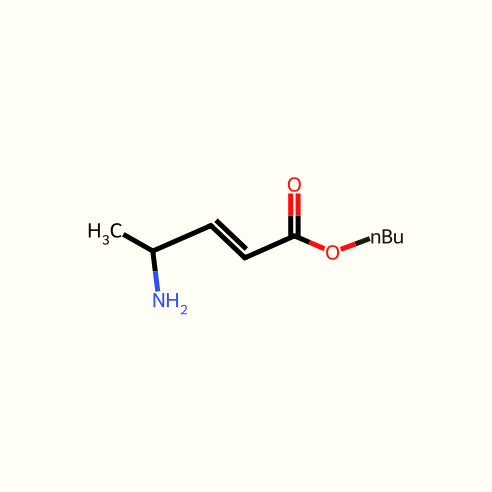 CCCCOC(=O)C=CC(C)N